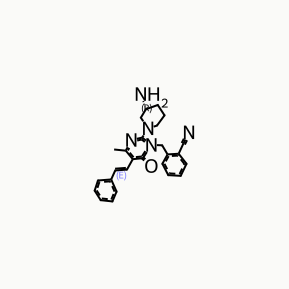 Cc1nc(N2CCC[C@@H](N)C2)n(Cc2ccccc2C#N)c(=O)c1/C=C/c1ccccc1